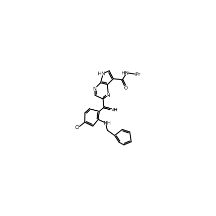 CC(C)NC(=O)c1c[nH]c2ncc(C(=N)c3ccc(Cl)cc3NCc3ccccc3)nc12